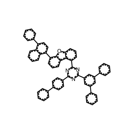 c1ccc(-c2ccc(-c3nc(-c4cc(-c5ccccc5)cc(-c5ccccc5)c4)nc(-c4cccc5oc6c(-c7ccc(-c8ccccc8)c8ccccc78)cccc6c45)n3)cc2)cc1